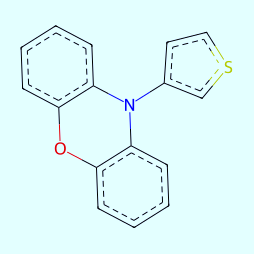 c1ccc2c(c1)Oc1ccccc1N2c1ccsc1